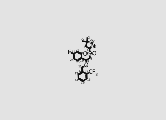 CC1(C)CC(S(=O)(=O)CC(OCc2ccccc2C(F)(F)F)c2ccc(F)cc2)=NO1